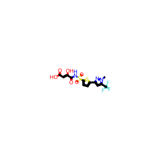 Cn1nc(-c2ccc(S(=O)(=O)NC(=O)C(O)=CC(=O)O)s2)cc1C(F)(F)F